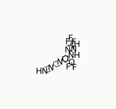 [2H]c1nc(Nc2ccc(N3CCC(N4CCNCC4)CC3)cc2OC(F)F)ncc1C(F)(F)F